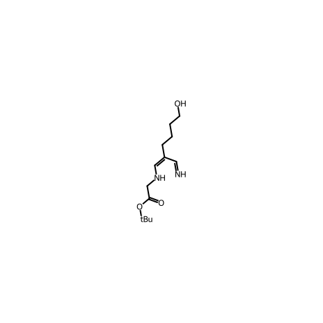 CC(C)(C)OC(=O)CN/C=C(\C=N)CCCCO